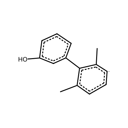 Cc1[c]ccc(C)c1-c1cccc(O)c1